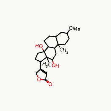 COC1CCC2(C)C(CCC3C2CC(O)C2(C)C(C4=CC(=O)OC4)CCC32O)C1